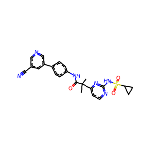 CC(C)(C(=O)Nc1ccc(-c2cncc(C#N)c2)cc1)c1ccnc(NS(=O)(=O)C2CC2)n1